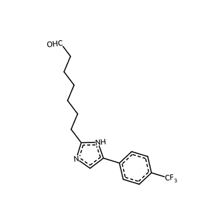 O=CCCCCCCc1ncc(-c2ccc(C(F)(F)F)cc2)[nH]1